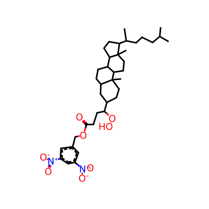 CC(C)CCCC(C)C1CCC2C3CCC4CC(C(CCC(=O)OCc5cc([N+](=O)[O-])cc([N+](=O)[O-])c5)OO)CCC4(C)C3CCC12C